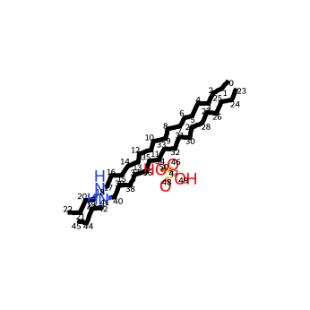 CCCCCCCCCCCCCCCCCCNCCCC.CCCCCCCCCCCCCCCCCCNCCCC.O=S(=O)(O)O